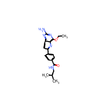 CCOc1nc(N)nc2ccc(-c3ccc(C(=O)NCC(C)C)cc3)nc12